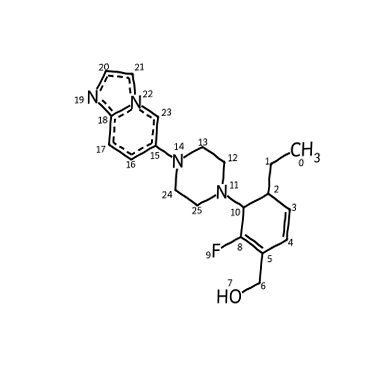 CCC1C=CC(CO)=C(F)C1N1CCN(c2ccc3nccn3c2)CC1